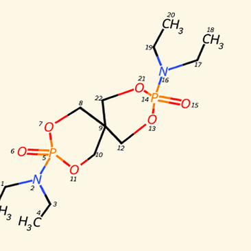 CCN(CC)P1(=O)OCC2(CO1)COP(=O)(N(CC)CC)OC2